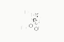 CC(C)(NC(=O)c1cnn2c(-c3ccc(C(F)(F)F)cc3)c(-c3ccccc3Cl)cnc12)C(=O)O